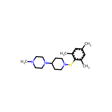 Cc1cc(C)c(SN2CCC(N3CCN(C)CC3)CC2)c(C)c1